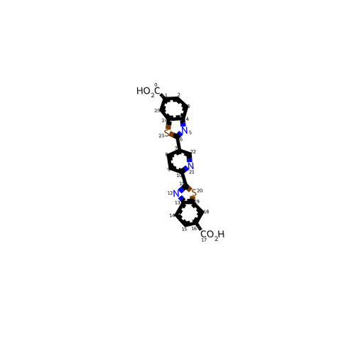 O=C(O)c1ccc2nc(-c3ccc(-c4nc5ccc(C(=O)O)cc5s4)nc3)sc2c1